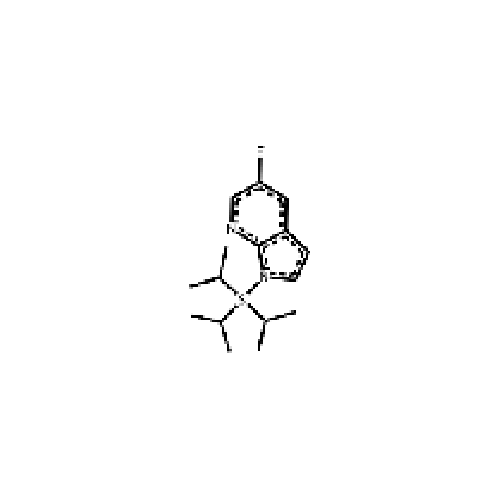 CC(C)[Si](C(C)C)(C(C)C)n1ccc2cc(F)cnc21